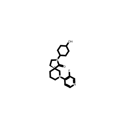 O=C1N(C2CCC(O)CC2)CC[C@@]12CCCN(c1ccncc1F)C2